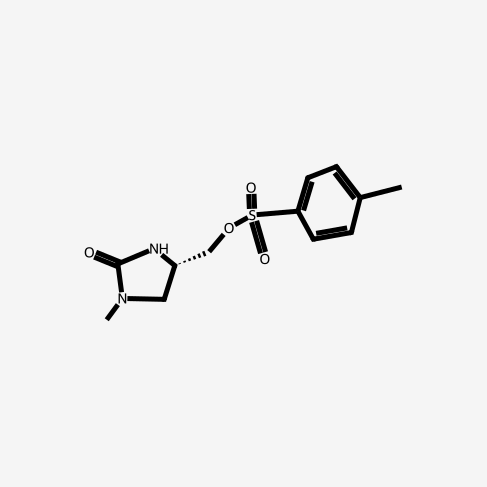 Cc1ccc(S(=O)(=O)OC[C@@H]2CN(C)C(=O)N2)cc1